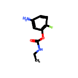 CCNC(=O)Oc1cc(N)ccc1F